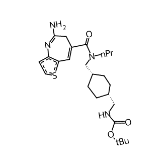 CCCN(C[C@H]1CC[C@@H](CNC(=O)OC(C)(C)C)CC1)C(=O)C1=Cc2sccc2N=C(N)C1